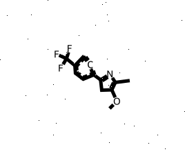 COC1=C(C)N=C(c2ccc(C(F)(F)F)cc2)C1